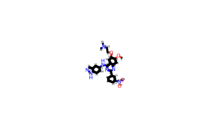 COc1cc2nc(-c3cccc([N+](=O)[O-])c3)nc(Nc3ccc4[nH]ncc4c3)c2cc1OCCN(C)C